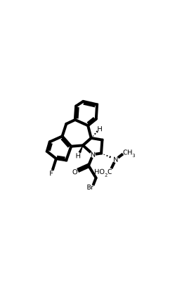 CN(C(=O)O)[C@H]1C[C@@H]2c3ccccc3Cc3ccc(F)cc3[C@H]2N1C(=O)CBr